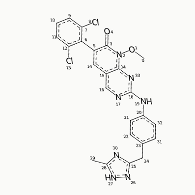 COn1c(=O)c(-c2c(Cl)cccc2Cl)cc2cnc(Nc3ccc(Cc4n[nH]c(C)n4)cc3)nc21